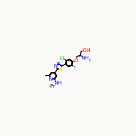 Cc1cc(-c2nnc(-c3cc(F)c(OC[C@H](N)CO)cc3Cl)s2)cc(NC(C)C)n1